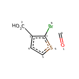 C=O.O=C(O)c1ccsc1Br